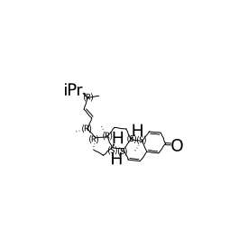 CC(C)[C@@H](C)C=C[C@@H](C)[C@H]1CC[C@H]2[C@@H]3C=CC4=CC(=O)C=C[C@]4(C)[C@H]3CC[C@]12C